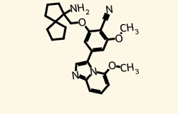 COc1cc(-c2cnc3cccc(OC)n23)cc(OCC2(N)CCCC23CCCC3)c1C#N